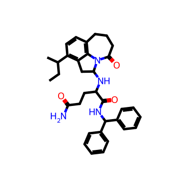 CCC(C)c1ccc2c3c1CC(NC(CCC(N)=O)C(=O)NC(c1ccccc1)c1ccccc1)N3C(=O)CCC2